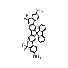 Nc1ccc(-c2ccc3c(c2)C2(c4ccccc4-c4ccccc42)c2cc(-c4ccc(N)cc4C(F)(F)F)ccc2-3)c(C(F)(F)F)c1